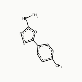 CPc1nnc(-c2ccc(C)cc2)o1